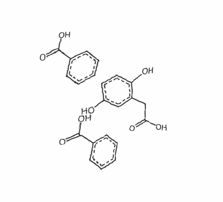 O=C(O)Cc1cc(O)ccc1O.O=C(O)c1ccccc1.O=C(O)c1ccccc1